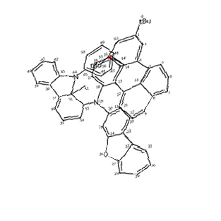 CC(C)(C)c1cc(-c2cccc3cccc(-c4ccccc4N(c4ccc5c(c4)oc4ccccc45)C4C=CC=C5c6ccccc6N(c6ccccc6)C54C)c23)cc(C(C)(C)C)c1